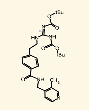 Cc1cnccc1CNC(=O)c1ccc(CCN/C(=N/C(=O)OC(C)(C)C)NC(=O)OC(C)(C)C)cc1